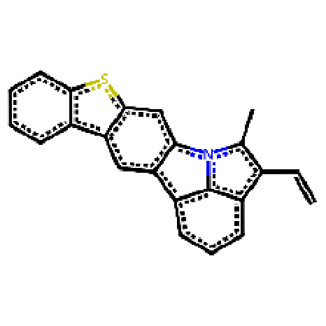 C=Cc1c(C)n2c3cc4sc5ccccc5c4cc3c3cccc1c32